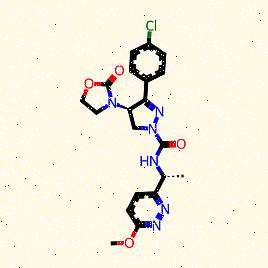 COc1ccc([C@@H](C)NC(=O)N2C[C@@H](N3CCOC3=O)C(c3ccc(Cl)cc3)=N2)nn1